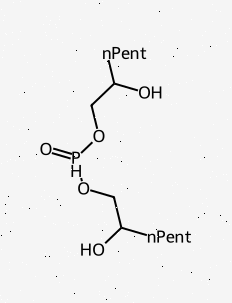 CCCCCC(O)CO[PH](=O)OCC(O)CCCCC